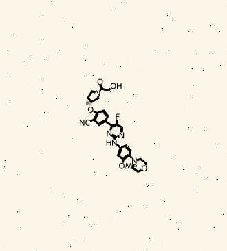 COc1cc(Nc2ncc(F)c(-c3ccc(O[C@@H]4CCN(C(=O)CO)C4)c(C#N)c3)n2)ccc1N1CCOCC1